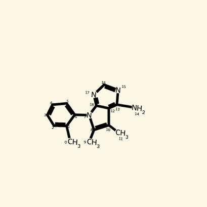 Cc1ccccc1-n1c(C)c(C)c2c(N)ncnc21